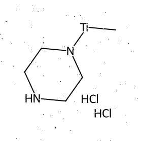 Cl.Cl.[CH3][Ti][N]1CCNCC1